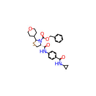 O=C(NC1CC1)c1ccc(NC(=O)[C@@H]2CSC(C3CCOCC3)N2C(=O)OCc2ccccc2)cc1